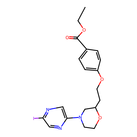 CCOC(=O)c1ccc(OCCC2CN(c3cnc(I)cn3)CCO2)cc1